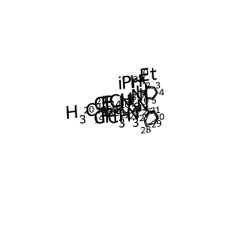 CCC(c1ccccc1Nc1nc(C(C)(C)C(F)(F)C(C)(C)C(F)(F)F)cnc1Nc1ccccc1)C(C)C